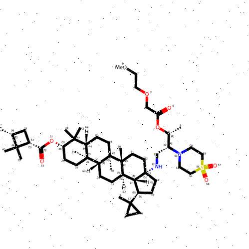 COCCOCC(=O)O[C@H](C)[C@@H](CN[C@]12CC[C@@H](C3(C)CC3)[C@@H]1[C@H]1CC[C@@H]3[C@@]4(C)CC[C@H](OC(=O)[C@H]5C[C@@H](C(=O)O)C5(C)C)C(C)(C)[C@@H]4CC[C@@]3(C)[C@]1(C)CC2)N1CCS(=O)(=O)CC1